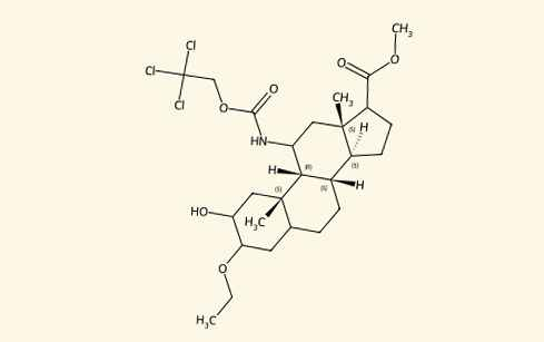 CCOC1CC2CC[C@@H]3[C@@H](C(NC(=O)OCC(Cl)(Cl)Cl)C[C@]4(C)C(C(=O)OC)CC[C@@H]34)[C@@]2(C)CC1O